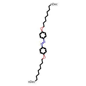 CCCCCCCCCCCCCCCCCCOc1ccc(N=Nc2ccc(OCCCCCCCCCCCCCCCCCC)cc2)cc1